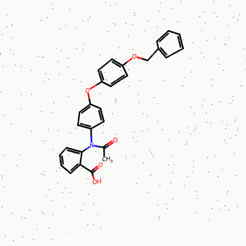 CC(=O)N(c1ccc(Oc2ccc(OCc3ccccc3)cc2)cc1)c1ccccc1C(=O)O